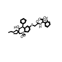 CCCCC1(CC)CS(=O)(=O)c2ccc(SCC(=O)NC(C(=O)O)c3ccccc3F)cc2C(c2ccccc2)C1O